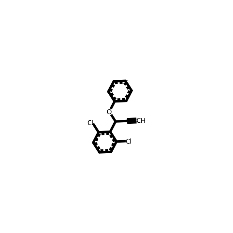 C#CC(Oc1cc[c]cc1)c1c(Cl)cccc1Cl